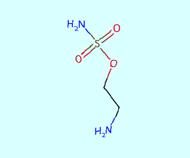 NCCOS(N)(=O)=O